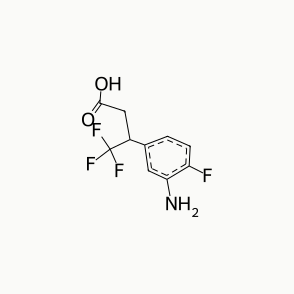 Nc1cc(C(CC(=O)O)C(F)(F)F)ccc1F